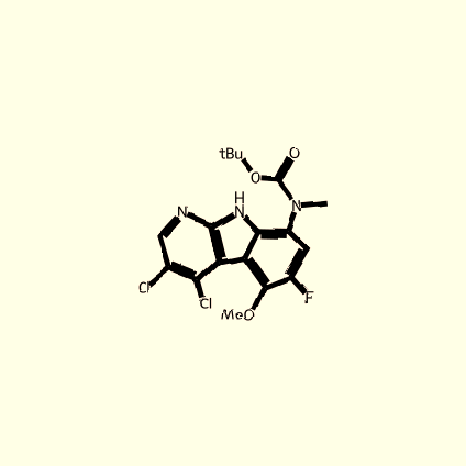 COc1c(F)cc(N(C)C(=O)OC(C)(C)C)c2[nH]c3ncc(Cl)c(Cl)c3c12